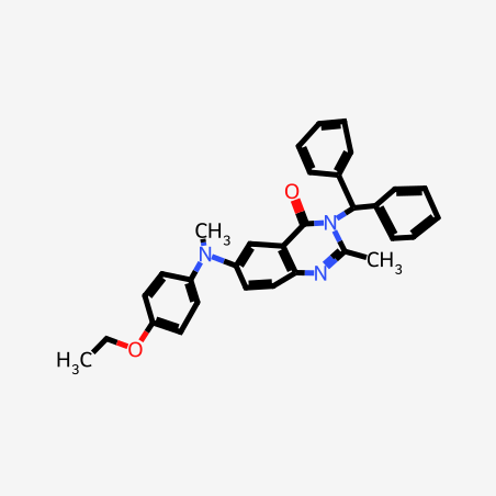 CCOc1ccc(N(C)c2ccc3nc(C)n(C(c4ccccc4)c4ccccc4)c(=O)c3c2)cc1